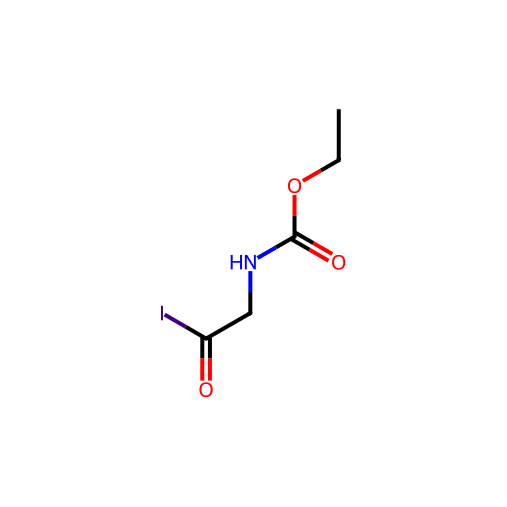 CCOC(=O)NCC(=O)I